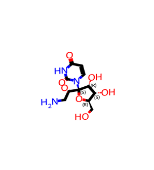 NCC(=O)[C@@]1(n2ccc(=O)[nH]c2=O)O[C@H](CO)[C@@H](O)[C@H]1O